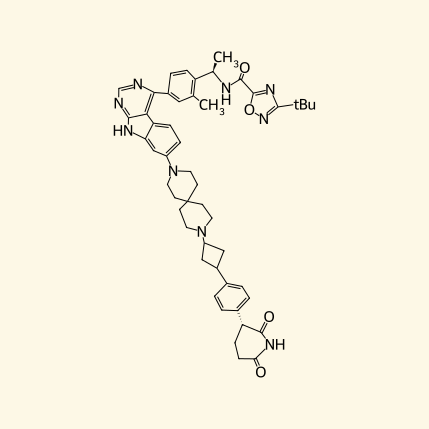 Cc1cc(-c2ncnc3[nH]c4cc(N5CCC6(CC5)CCN(C5CC(c7ccc([C@H]8CCC(=O)NC8=O)cc7)C5)CC6)ccc4c23)ccc1[C@@H](C)NC(=O)c1nc(C(C)(C)C)no1